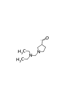 CCN(CC)CN1CCC([C]=O)C1